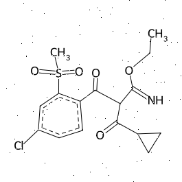 CCOC(=N)C(C(=O)c1ccc(Cl)cc1S(C)(=O)=O)C(=O)C1CC1